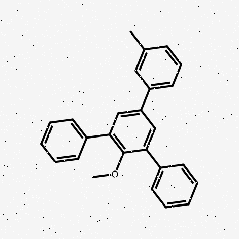 COc1c(-c2ccccc2)cc(-c2cccc(C)c2)cc1-c1ccccc1